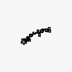 N=C(N)Nc1nc(-c2ccc(SCCCC(=O)NC3CCN(Cc4ccc(Cl)c(Cl)c4)CC3)cc2)cs1